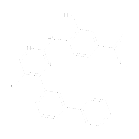 Cc1cc(C(N)=O)ccc1Nc1ncc(Cl)c(-c2cccc(-c3ccccc3)c2)n1